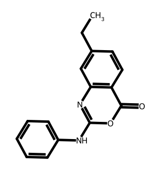 CCc1ccc2c(=O)oc(Nc3ccccc3)nc2c1